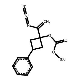 C=C(N=[N+]=[N-])C1(OC(=O)OC(C)(C)C)CC(c2ccccc2)C1